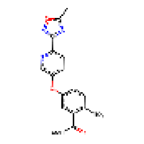 COC(=O)c1cc(Oc2ccc(-c3noc(C)n3)nc2)ccc1[N+](=O)[O-]